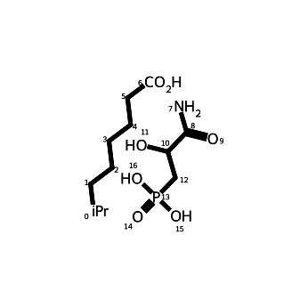 CC(C)CCCCCC(=O)O.NC(=O)C(O)CP(=O)(O)O